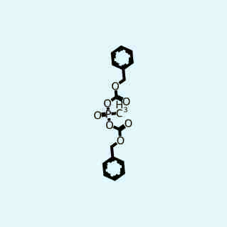 CP(=O)(OC(=O)OCc1ccccc1)OC(=O)OCc1ccccc1